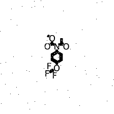 COC(=O)N(C(C)=O)c1ccc(OC(F)(F)F)cc1